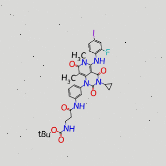 Cc1c(=O)n(C)c(Nc2ccc(I)cc2F)c2c(=O)n(C3CC3)c(=O)n(-c3cccc(NC(=O)CCNC(=O)OC(C)(C)C)c3)c12